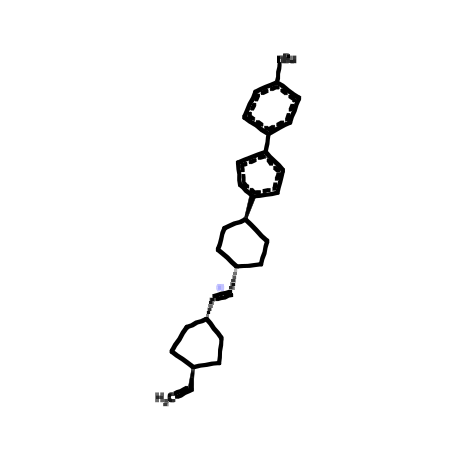 C=C[C@H]1CC[C@H](/C=C/[C@H]2CC[C@H](c3ccc(-c4ccc(CCCC)cc4)cc3)CC2)CC1